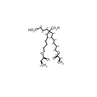 C=CC(=O)OCCCCCCC(CCCCCCOC(=O)C=C)(CCCC(=O)O)C(=O)O